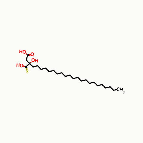 CCCCCCCCCCCCCCCCCCCCCCC(O)(CC(=O)O)C(O)=S